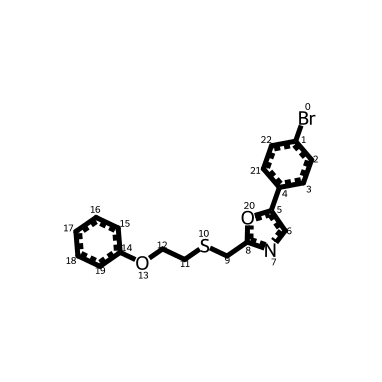 Brc1ccc(-c2cnc(CSCCOc3ccccc3)o2)cc1